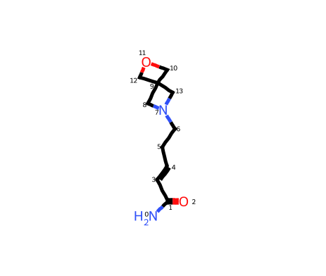 NC(=O)C=CCCN1CC2(COC2)C1